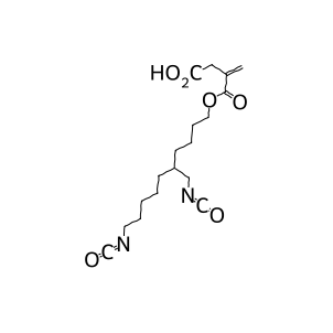 C=C(CC(=O)O)C(=O)OCCCCC(CCCCCN=C=O)CN=C=O